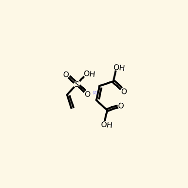 C=CS(=O)(=O)O.O=C(O)/C=C\C(=O)O